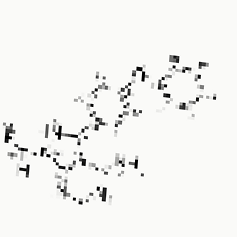 Nc1ncnc2c1C(c1ccc(Oc3ccccc3)cc1)NN2BF